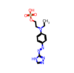 CCN(CCOS(=O)(=O)O)c1ccc(/N=N/c2nnc[nH]2)cc1